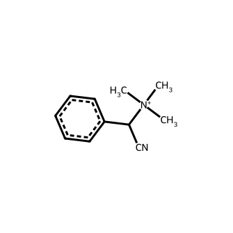 C[N+](C)(C)C(C#N)c1ccccc1